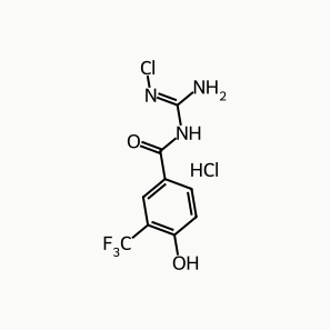 Cl.NC(=NCl)NC(=O)c1ccc(O)c(C(F)(F)F)c1